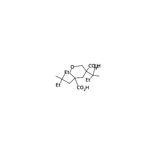 CCC(C)(CC)CC1(C(=O)O)COCC(C(=O)O)(C(C)(CC)CC)C1